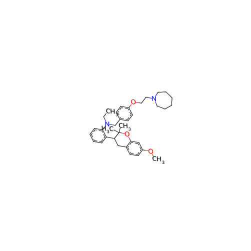 CCN(Cc1ccc(OCCN2CCCCCC2)cc1)c1ccccc1C1Cc2ccc(OC)cc2OC1(C)C